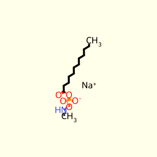 CCCCCCCCCCCC(=O)OP(=O)([O-])ONC.[Na+]